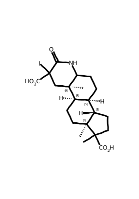 CC1(C(=O)O)CC[C@H]2[C@@H]3CCC4NC(=O)C(I)(C(=O)O)C[C@]4(C)[C@@H]3CC[C@@]21C